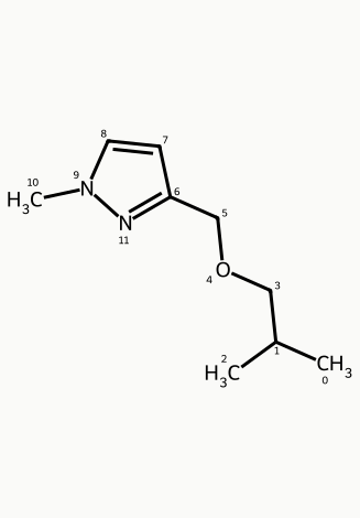 CC(C)COCc1ccn(C)n1